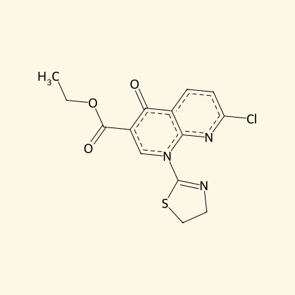 CCOC(=O)c1cn(C2=NCCS2)c2nc(Cl)ccc2c1=O